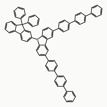 c1ccc(-c2ccc(-c3ccc(-c4ccc5c(c4)c4cc(-c6ccc(-c7ccc(-c8ccccc8)cc7)cc6)ccc4n5-c4ccc5c(c4)C(c4ccccc4)(c4ccccc4)c4ccccc4-5)cc3)cc2)cc1